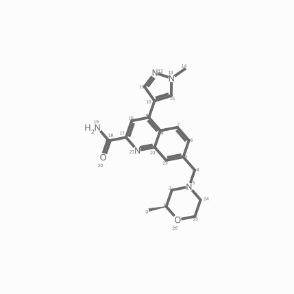 C[C@H]1CN(Cc2ccc3c(-c4cnn(C)c4)cc(C(N)=O)nc3c2)CCO1